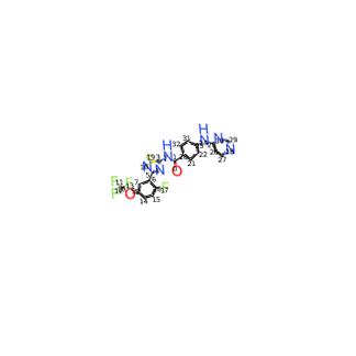 O=C(Nc1nc(-c2cc(OC(F)(F)F)ccc2F)ns1)c1ccc(Nc2ccncn2)cc1